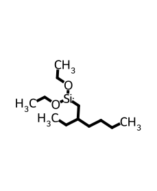 CCCCC(CC)C[Si](OCC)OCC